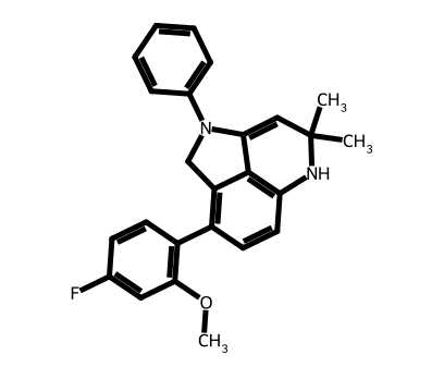 COc1cc(F)ccc1-c1ccc2c3c1CN(c1ccccc1)C3=CC(C)(C)N2